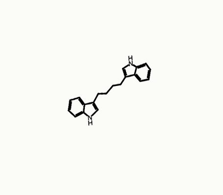 c1ccc2c(CCCCc3c[nH]c4ccccc34)c[nH]c2c1